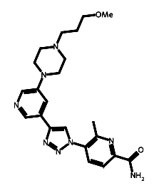 COCCCN1CCN(c2cncc(-c3cn(-c4c[c]c(C(N)=O)nc4C)nn3)c2)CC1